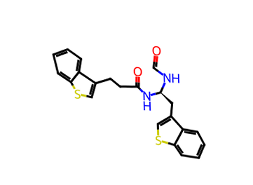 O=CN[C@@H](Cc1csc2ccccc12)NC(=O)CCc1csc2ccccc12